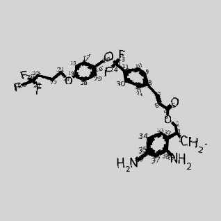 [CH2]C(COC(=O)/C=C/c1ccc(C(F)(F)Oc2ccc(OCCCC(F)(F)F)cc2)cc1)c1ccc(N)cc1N